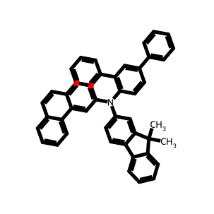 CC1(C)c2ccccc2-c2ccc(N(c3ccc4ccc5ccccc5c4c3)c3ccc(-c4ccccc4)cc3-c3ccccc3)cc21